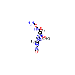 CCc1cc(Nc2nccn3c(-c4cn(CCN5CCOCC5)nc4C(F)(F)F)cnc23)ccc1C(=O)NCCOCCN.O=CO